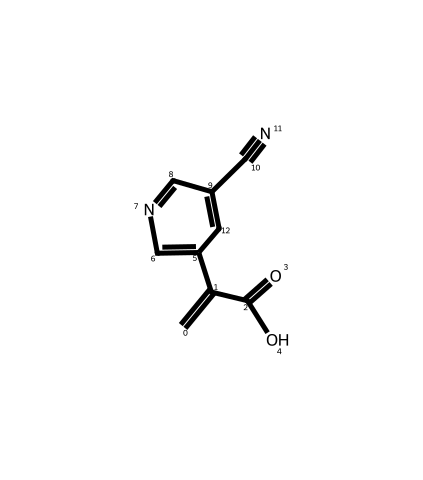 C=C(C(=O)O)c1cncc(C#N)c1